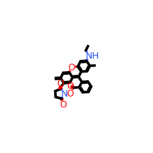 C=c1cc2c(cc1C)=C(c1ccccc1C(=O)ON1C(=O)CCC1=O)c1cc(C)c(NCC)cc1O2